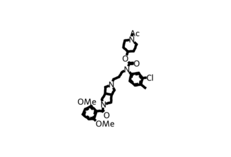 COc1cccc(OC)c1C(=O)N1CC2CN(CCCN(C(=O)OC3CCN(C(C)=O)CC3)c3ccc(C)c(Cl)c3)CC2C1